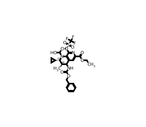 CCOC(=O)c1cc2c(c(OS(=O)(=O)C(F)(F)F)n1)N(C(C)O)[C@@H](C1CC1)[C@H](C)C2NC(=O)OCc1ccccc1